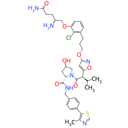 Cc1ncsc1-c1ccc(CNC(=O)[C@@H]2C[C@@H](O)CN2C(=O)[C@@H](c2cc(OCCCc3cccc(OC[C@@H](N)CCC(N)=O)c3Cl)no2)C(C)C)cc1